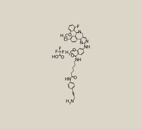 COc1cc(Nc2ncc3c(n2)-c2ccc(Cl)cc2C(c2c(F)cccc2OC)=NC3)ccc1C(=O)NCCCCCC(=O)Nc1ccc(C#CCN)cc1.O=C(O)C(F)(F)F